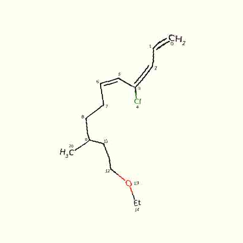 C=C/C=C(Cl)\C=C/CCC(C)CCOCC